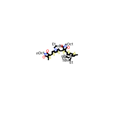 CCCCCCCCN1C(=O)c2c(C)sc(-c3cc4c(s3)c3sc(-c5sc(-c6cc7c(s6)-c6sc(C)cc6[Si]7(CC(CC)CCCC)CC(CC)CCCC)c6c5C(=O)N(CCCCCCCC)C6=O)cc3n4CC(CC)CCCC)c2C1=O